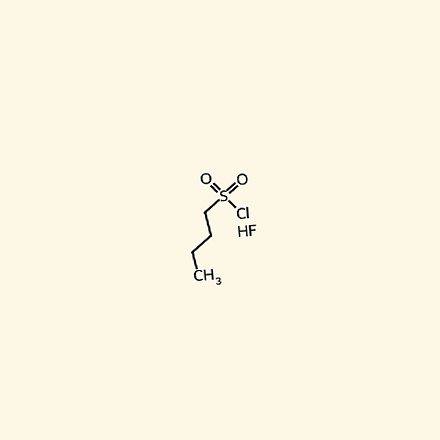 CCCCS(=O)(=O)Cl.F